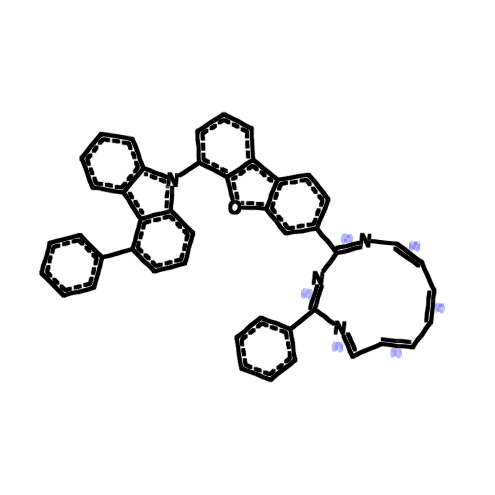 C1=C\C=C\C=N\C(c2ccccc2)=N/C(c2ccc3c(c2)oc2c(-n4c5ccccc5c5c(-c6ccccc6)cccc54)cccc23)=N\C=C/1